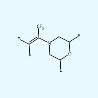 FC(F)=C(N1CC(F)OC(F)C1)C(F)(F)F